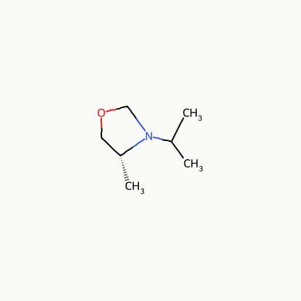 CC(C)N1COC[C@H]1C